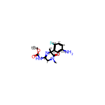 CN1CC(NC(=O)OC(C)(C)C)=NC(C)(c2cc(N)ccc2F)C1=O